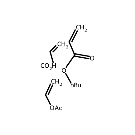 C=CC(=O)O.C=CC(=O)OCCCC.C=COC(C)=O